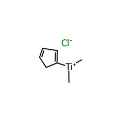 [CH3][Ti+]([CH3])[C]1=CC=CC1.[Cl-]